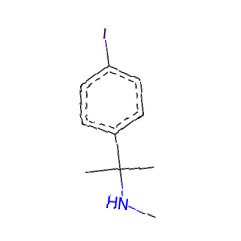 CNC(C)(C)c1ccc(I)cc1